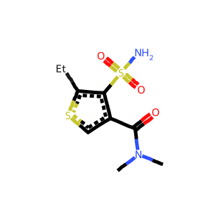 CCc1scc(C(=O)N(C)C)c1S(N)(=O)=O